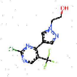 OCCn1cc(-c2nc(Cl)ncc2C(F)(F)F)cn1